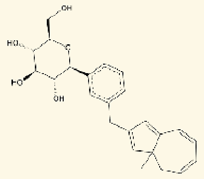 CC12C=C(Cc3cccc([C@@H]4O[C@H](CO)[C@@H](O)[C@H](O)[C@H]4O)c3)C=C1C=CC=CC2